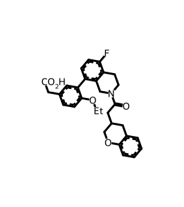 CCOc1ccc(CC(=O)O)cc1-c1ccc(F)c2c1CN(C(=O)CC1COc3ccccc3C1)CC2